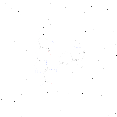 NC(=O)c1ncc(NC(CC(F)(F)F)C(N)=O)nc1NC1=CC2=CC=CNC2C=C1